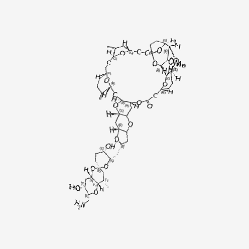 C=C1C[C@@H]2CC[C@]34CC[C@H](O3)[C@@H]3O[C@H]5CC[C@H](CC(=O)O[C@@H]6CC7OC8C[C@H](C[C@@H]9O[C@@]%10(CC[C@@H]9O)C[C@H](C)[C@@H]9O[C@H](CN)[C@H](O)C[C@@H]9O%10)O[C@@H]8C[C@@H]7O[C@H]6C[C@H]6O[C@H](CCC6=C)CC[C@@H]1O2)O[C@@H]5[C@H](O4)C3OC